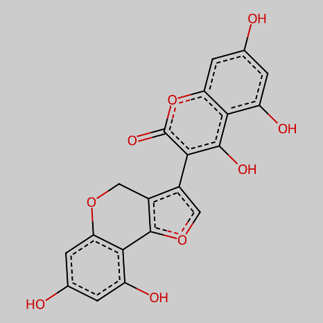 O=c1oc2cc(O)cc(O)c2c(O)c1-c1coc2c1COc1cc(O)cc(O)c1-2